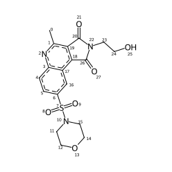 Cc1nc2ccc(S(=O)(=O)N3CCOCC3)cc2c2c1C(=O)N(CCO)C2=O